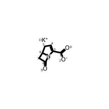 O=C([O-])C1=CCC2CC(=O)N12.[K+]